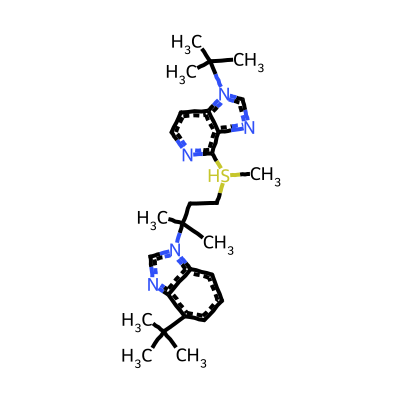 C[SH](CCC(C)(C)n1cnc2c(C(C)(C)C)cccc21)c1nccc2c1ncn2C(C)(C)C